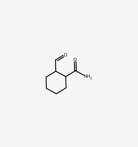 NC(=O)C1CCCCC1C=O